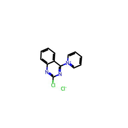 Clc1nc(-[n+]2ccccc2)c2ccccc2n1.[Cl-]